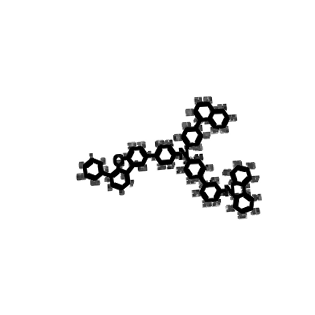 c1ccc(-c2cccc3c2oc2ccc(-c4ccc(N(c5ccc(-c6cccc(-n7c8ccccc8c8ccccc87)c6)cc5)c5ccc(-c6cccc7ccccc67)cc5)cc4)cc23)cc1